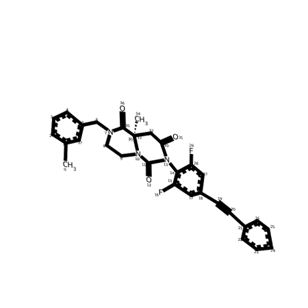 Cc1cccc(CN2CCN3C(=O)N(c4c(F)cc(C#Cc5ccccc5)cc4F)C(=O)C[C@]3(C)C2=O)c1